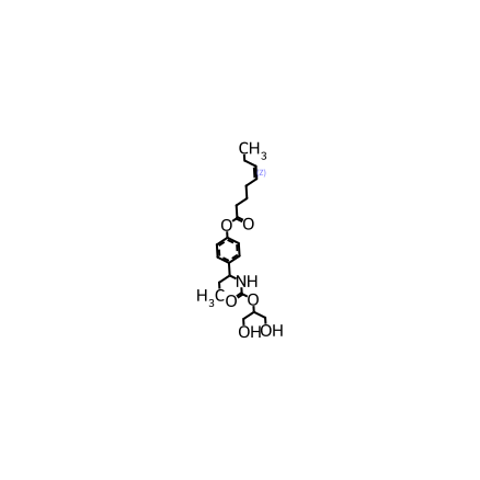 CC/C=C\CCCC(=O)Oc1ccc(C(CC)NC(=O)OC(CO)CO)cc1